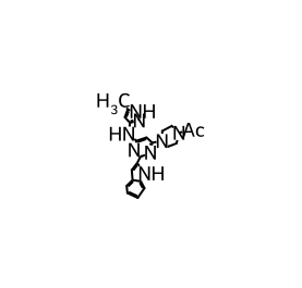 CC(=O)N1CCN(c2cc(Nc3cc(C)[nH]n3)nc(-c3cc4ccccc4[nH]3)n2)CC1